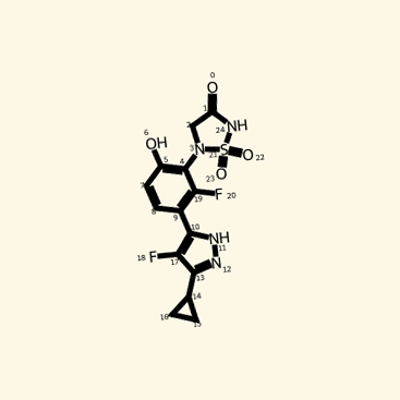 O=C1CN(c2c(O)ccc(-c3[nH]nc(C4CC4)c3F)c2F)S(=O)(=O)N1